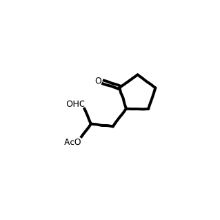 CC(=O)OC(C=O)CC1CCCC1=O